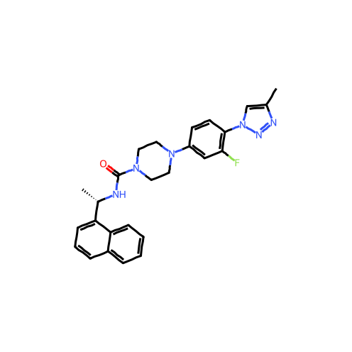 Cc1cn(-c2ccc(N3CCN(C(=O)N[C@@H](C)c4cccc5ccccc45)CC3)cc2F)nn1